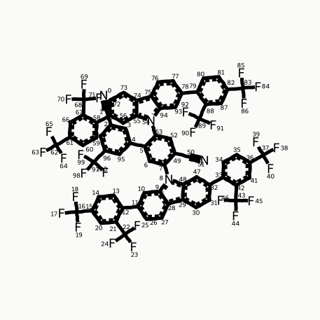 N#Cc1cc(-c2cc(-n3c4cc(-c5ccc(C(F)(F)F)cc5C(F)(F)F)ccc4c4ccc(-c5ccc(C(F)(F)F)cc5C(F)(F)F)cc43)c(C#N)cc2-n2c3cc(-c4ccc(C(F)(F)F)cc4C(F)(F)F)ccc3c3ccc(-c4ccc(C(F)(F)F)cc4C(F)(F)F)cc32)cc(C(F)(F)F)c1